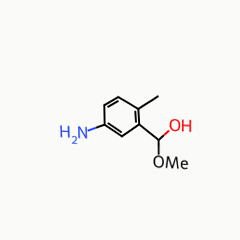 COC(O)c1cc(N)ccc1C